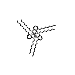 CCCCCCCCCc1cccc(CCCCCCCCC)c1OP(Oc1c(CCCCCCCCC)cccc1CCCCCCCCC)Oc1c(CCCCCCCCC)cccc1CCCCCCCCC